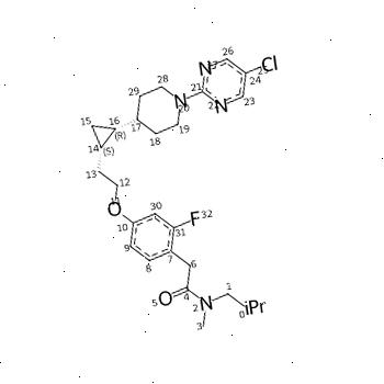 CC(C)CN(C)C(=O)Cc1ccc(OCC[C@@H]2C[C@@H]2C2CCN(c3ncc(Cl)cn3)CC2)cc1F